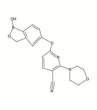 N#Cc1ccc(Oc2ccc3c(c2)COB3O)nc1N1CCOCC1